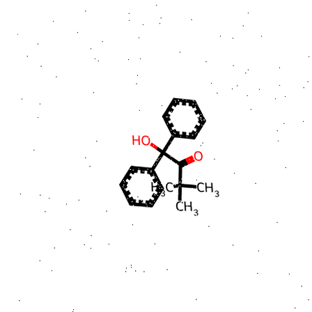 CC(C)(C)C(=O)C(O)(c1ccccc1)c1ccccc1